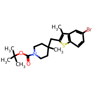 Cc1c(CC2(C)CCN(C(=O)OC(C)(C)C)CC2)sc2ccc(Br)cc12